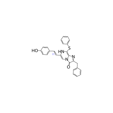 O=c1c(Cc2ccccc2)nc2c(Sc3ccccc3)[nH]c(/C=C/c3ccc(O)cc3)cn1-2